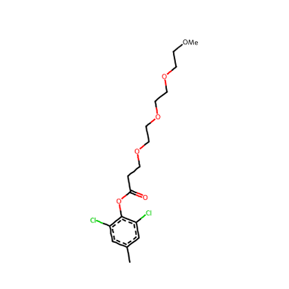 COCCOCCOCCOCCC(=O)Oc1c(Cl)cc(C)cc1Cl